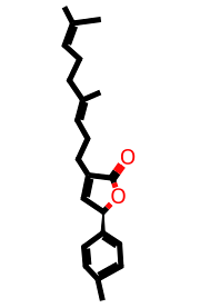 CC(C)=CCC/C(C)=C/CCC1=C[C@H](c2ccc(C)cc2)OC1=O